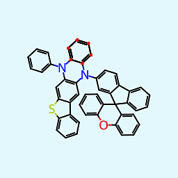 c1ccc(N(c2ccccc2)c2cc3sc4ccccc4c3cc2N(c2ccccc2)c2ccc3c(c2)C2(c4ccccc4Oc4ccccc42)c2ccccc2-3)cc1